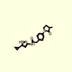 CC1CCN(c2ccc(CC(=O)Nc3cc(C4CC4)[nH]n3)cc2)C1=O